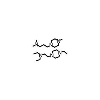 CCN(CC)CCN1CCN(CC)CC1.CN(C)CCCN1CCN(C)CC1